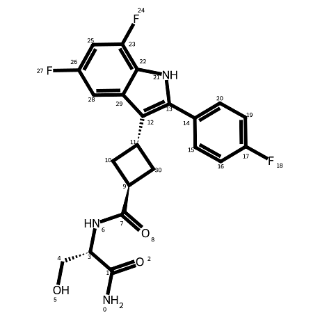 NC(=O)[C@H](CO)NC(=O)[C@H]1C[C@H](c2c(-c3ccc(F)cc3)[nH]c3c(F)cc(F)cc32)C1